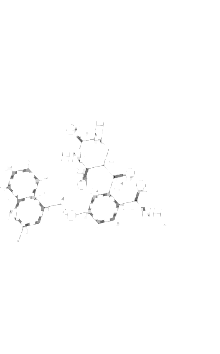 Cc1cc(COc2ccc(C(N)=O)c(C(=O)C3CNC(=O)NC3=O)c2)c2ccccc2n1